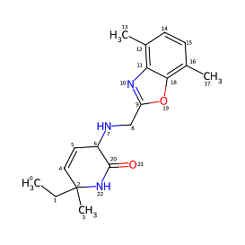 CCC1(C)C=CC(NCc2nc3c(C)ccc(C)c3o2)C(=O)N1